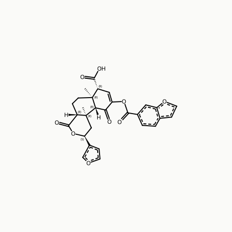 C[C@@]12CC[C@H]3C(=O)O[C@H](c4ccoc4)C[C@]3(C)[C@H]1C(=O)C(OC(=O)c1ccc3ccoc3c1)=C[C@H]2C(=O)O